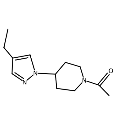 CCc1cnn(C2CCN(C(C)=O)CC2)c1